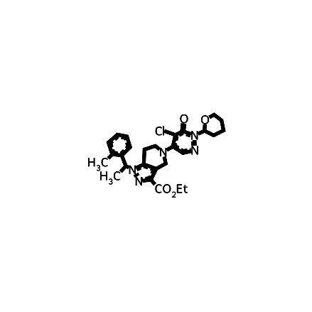 CCOC(=O)c1nn(C(C)c2ccccc2C)c2c1CN(c1cnn(C3CCCCO3)c(=O)c1Cl)CC2